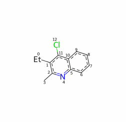 CCc1c(C)nc2ccccc2c1Cl